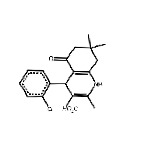 CC1=C(C(=O)O)C(c2ccccc2Cl)C2=C(CC(C)(C)CC2=O)N1